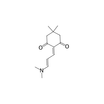 CN(C)C=CC=C1C(=O)CC(C)(C)CC1=O